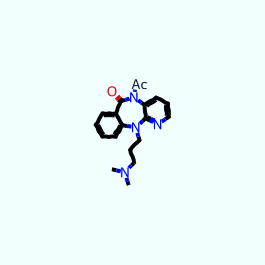 CC(=O)N1C(=O)c2ccccc2N(CCCN(C)C)c2ncccc21